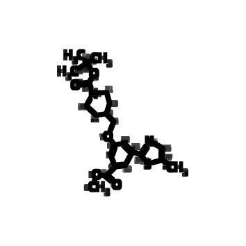 COC(=O)c1cc(OCC2CCN(C(=O)OC(C)(C)C)CC2)cc(-c2ncc(C)s2)c1